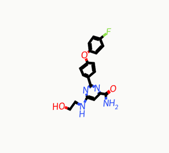 NC(=O)c1cc(NCCO)nc(-c2ccc(Oc3ccc(F)cc3)cc2)n1